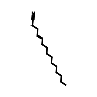 CCCCCCCCCCC=CC[CH]C#N